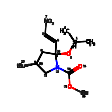 C[SiH](C)O[C@]1(C=C[N+](=O)[O-])C[C@H](C(C)(C)C)CN1C(=O)OC(C)(C)C